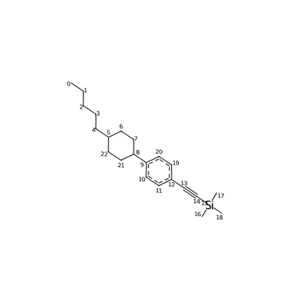 CCCCCC1CCC(c2ccc(C#C[Si](C)(C)C)cc2)CC1